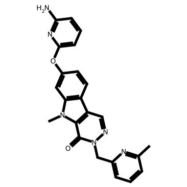 Cc1cccc(Cn2ncc3c4ccc(Oc5cccc(N)n5)cc4n(C)c3c2=O)n1